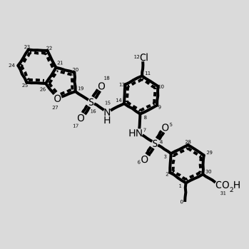 Cc1cc(S(=O)(=O)Nc2ccc(Cl)cc2NS(=O)(=O)c2cc3ccccc3o2)ccc1C(=O)O